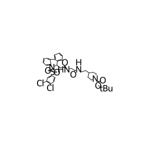 CC(C)(C)OC(=O)N1CCC(CCNC(=O)CNC(=O)CC2c3ccccc3-c3ccccc3N2S(=O)(=O)c2ccc(Cl)c(Cl)c2)CC1